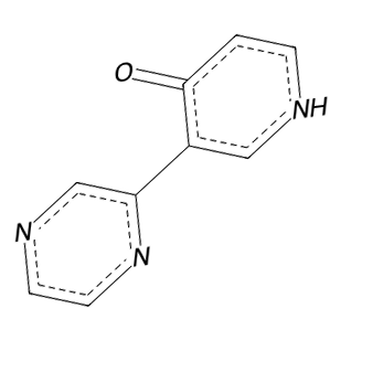 O=c1cc[nH]cc1-c1cnccn1